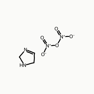 C1=NCNC1.O=[N+]([O-])O[N+](=O)[O-]